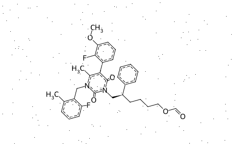 COc1cccc(-c2c(C)n(Cc3c(C)cccc3F)c(=O)n(C[C@H](CCCCOC=O)c3ccccc3)c2=O)c1F